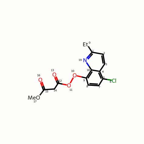 CCc1ccc2c(Cl)ccc(OOC(=O)CC(=O)OC)c2n1